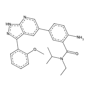 CCN(C(=O)c1cc(-c2cnc3[nH]nc(-c4ccccc4OC)c3c2)ccc1N)C(C)C